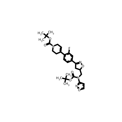 CC(C)(C)OC(=O)N1CC=C(c2ccc(C3=NOC(CN(C(=O)OC(C)(C)C)c4ccon4)C3)cc2F)CC1